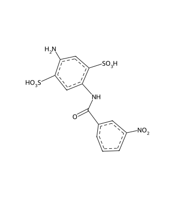 Nc1cc(S(=O)(=O)O)c(NC(=O)c2cccc([N+](=O)[O-])c2)cc1S(=O)(=O)O